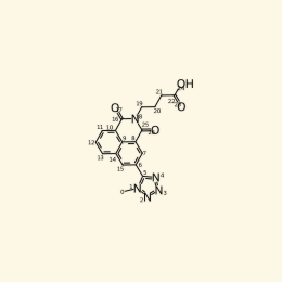 Cn1nnnc1-c1cc2c3c(cccc3c1)C(=O)N(CCCC(=O)O)C2=O